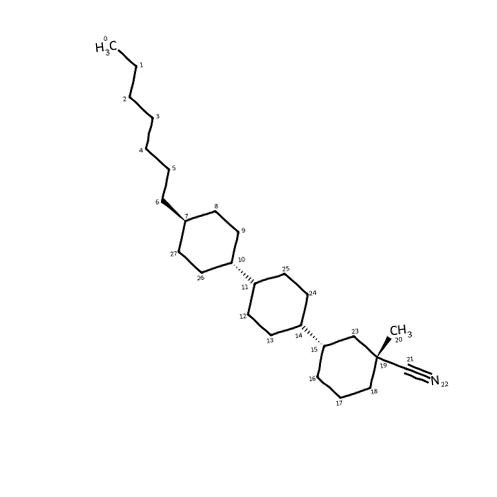 CCCCCCC[C@H]1CC[C@H](C2CCC([C@H]3CCC[C@@](C)(C#N)C3)CC2)CC1